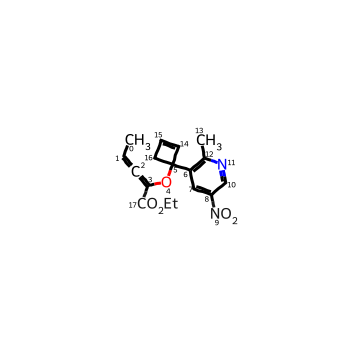 CC=C=C(OC1(c2cc([N+](=O)[O-])cnc2C)C=CC1)C(=O)OCC